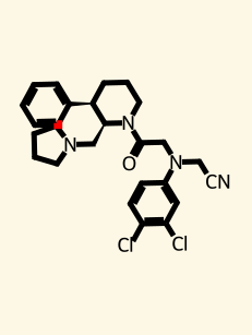 N#CCN(CC(=O)N1CCC[C@H](c2ccccc2)[C@@H]1CN1CCCC1)c1ccc(Cl)c(Cl)c1